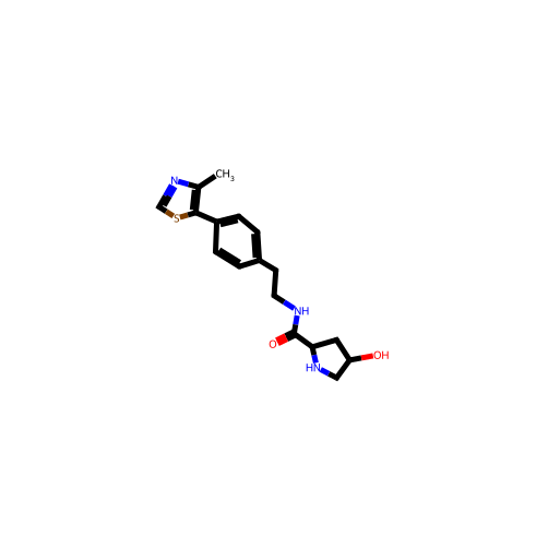 Cc1ncsc1-c1ccc(CCNC(=O)C2CC(O)CN2)cc1